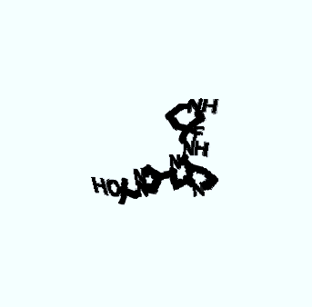 CC(C)(O)Cn1cc(-c2cc3ncccc3c(NC[C@]3(F)CCCNC3)n2)cn1